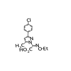 CCON=C(C(=O)O)n1nc(-c2ccc(Cl)cc2)cc1C